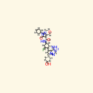 Nc1ncnn2c(C3CCC(O)CC3)cc(-c3ccc(NC(=O)c4c5n(n(-c6ccccc6)c4=O)CCOC5)cc3F)c12